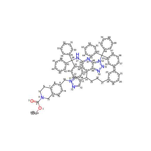 CC(C)(C)OC(=O)N1CCc2cc(Cn3cc(C(CCCc4ccccc4)c4cc(NC(c5ccccc5)(c5ccccc5)c5ccccc5)nc5c4nnn5C(c4ccccc4)(c4ccccc4)c4ccccc4)cn3)ccc2C1